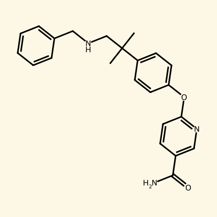 CC(C)(CNCc1ccccc1)c1ccc(Oc2ccc(C(N)=O)cn2)cc1